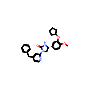 COc1ccc([C@@H]2CN(c3cc(Cc4ccccc4)ccn3)C(=O)N2)cc1OC1CCCC1